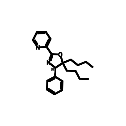 CCCCC1(CCCC)OC(c2ccccn2)=N[C@@H]1c1ccccc1